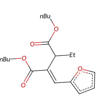 CCCCOC(=O)/C(=C/c1ccco1)C(CC)C(=O)OCCCC